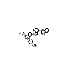 NC(=O)c1ccc(-n2ccc3c(-c4cnc5ccccc5c4)ccnc32)cc1NC1CCC(O)CC1